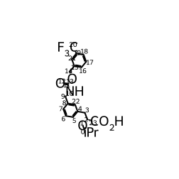 CC(C)O[C@@H](Cc1cccc(CNC(=O)OCc2cccc(C(F)(F)F)c2)c1)C(=O)O